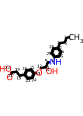 CCCCc1ccc(NCC(O)COc2ccc(CCC(=O)O)cc2)cc1